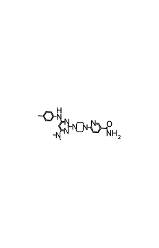 Cc1ccc(Nc2cc(N(C)C)nc(N3CCN(c4ccc(C(N)=O)cn4)CC3)n2)cc1